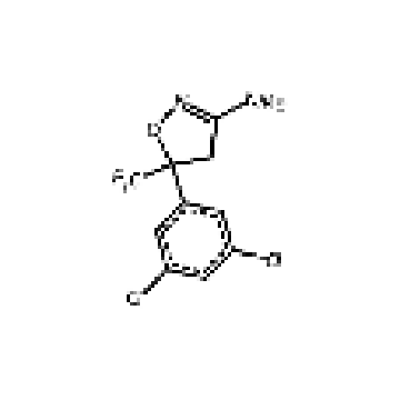 CNC1=NOC(c2cc(Cl)cc(Cl)c2)(C(F)(F)F)C1